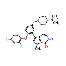 CN(C)C1CCN(Cc2ccc(Oc3ccc(F)cc3F)c(-c3cn(C)c4c(=O)[nH]ccc34)c2)CC1